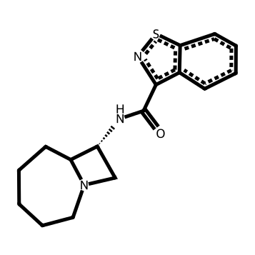 O=C(N[C@@H]1CN2CCCCCC12)c1nsc2ccccc12